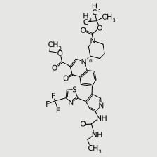 CCNC(=O)Nc1cc(-c2nc(C(F)(F)F)cs2)c(-c2ccc3c(c2)c(=O)c(C(=O)OCC)cn3[C@H]2CCCN(C(=O)OC(C)(C)C)C2)cn1